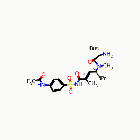 CC[C@H](C)C(N)C(=O)N(C)[C@H](/C=C(\C)C(=O)NS(=O)(=O)c1ccc(NC(=O)C(F)(F)F)cc1)C(C)C